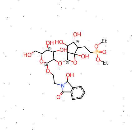 CCOP(=O)(CCC1[C@@H](O)C(O)C2[C@@H](OC3C(O)[C@H](O)C(CO)O[C@@H]3OCCN3C(=O)c4ccccc4C3O)OC21O)OCC